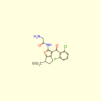 CCOC(=O)C1CCc2c1sc(NC(=O)CN)c2C(=O)c1c(F)cccc1Cl